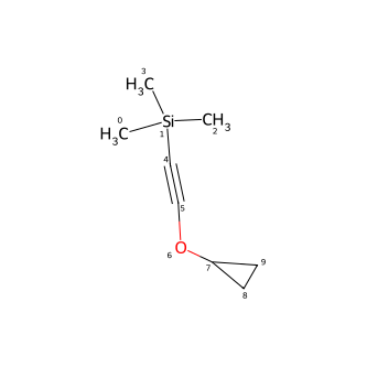 C[Si](C)(C)C#COC1CC1